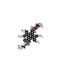 C=C(C)C(=O)NCCN(CC)C(=O)C(Cc1ccccc1)N1C(=O)c2cc(Oc3ccc(C)cc3)c3c4c(Oc5ccc(C)cc5)cc5c6c(cc(Oc7ccc(C)cc7)c(c7c(Oc8ccc(C)cc8)cc(c2c37)C1=O)c64)C(=O)N(C(Cc1ccccc1)C(=O)N(CC)CCNC(=O)C(=C)C)C5=O